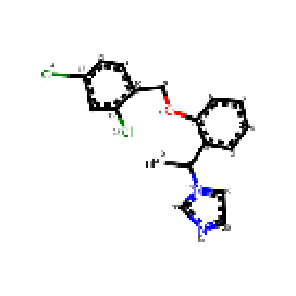 CCCC(c1ccccc1OCc1ccc(Cl)cc1Cl)n1ccnc1